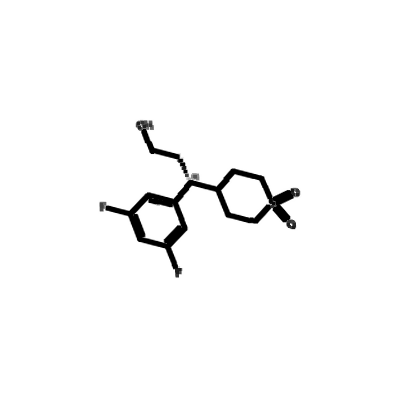 O=S1(=O)CCC([C@@H](CCO)c2cc(F)cc(F)c2)CC1